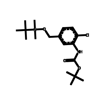 CC(C)(C)OC(=O)Nc1cc(CO[Si](C)(C)C(C)(C)C)ccc1Cl